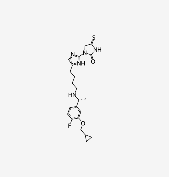 C[C@@H](NCCCCc1cnc(N2CC(=S)NC2=O)[nH]1)c1ccc(F)c(OCC2CC2)c1